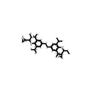 CCC(Oc1c(C(C)C)cc(CCc2cc(C(C)C)c(OC(CC)C3CO3)c(C(C)C)c2)cc1C(C)C)C1CO1